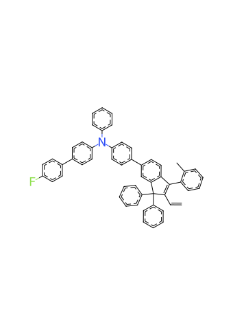 C=CC1=C(c2ccccc2C)c2ccc(-c3ccc(N(c4ccccc4)c4ccc(-c5ccc(F)cc5)cc4)cc3)cc2C1(c1ccccc1)c1ccccc1